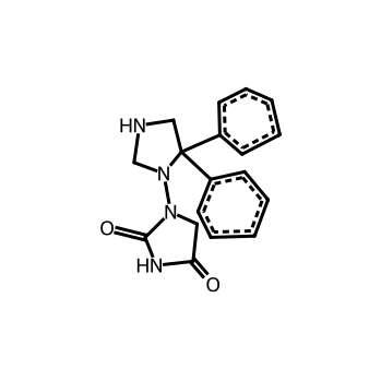 O=C1CN(N2CNCC2(c2ccccc2)c2ccccc2)C(=O)N1